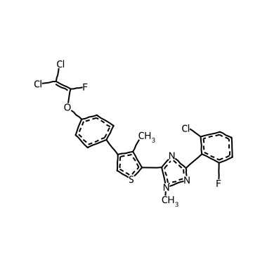 Cc1c(-c2ccc(OC(F)=C(Cl)Cl)cc2)csc1-c1nc(-c2c(F)cccc2Cl)nn1C